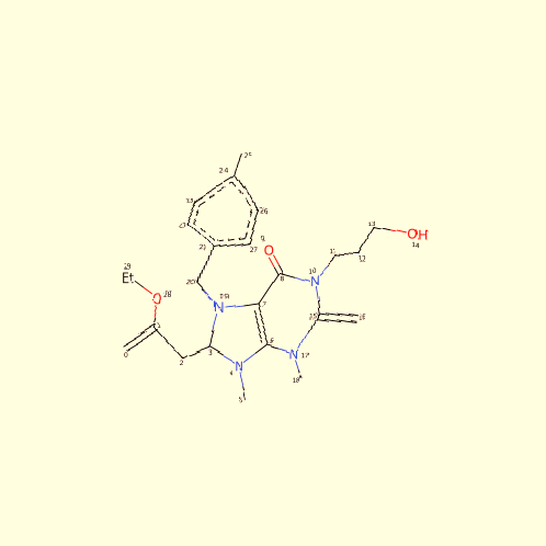 C=C(CC1N(C)C2=C(C(=O)N(CCCO)C(=C)N2C)N1Cc1ccc(C)cc1)OCC